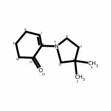 CC1(C)CCN(C2=CCCCC2=O)C1